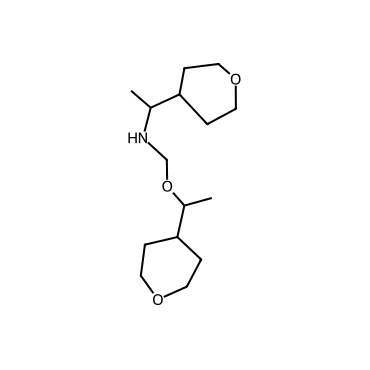 CC(NCOC(C)C1CCOCC1)C1CCOCC1